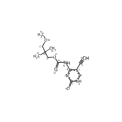 C#Cc1c[nH]c(=O)nc1NC(=O)OCC(C)(C)COC